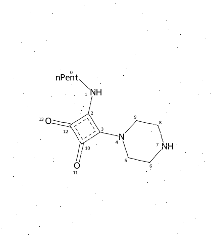 CCCCCNc1c(N2CCNCC2)c(=O)c1=O